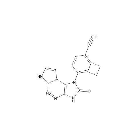 C#Cc1ccc(-n2c3c([nH]c2=O)N=NC2NC=CC32)c2c1CC2